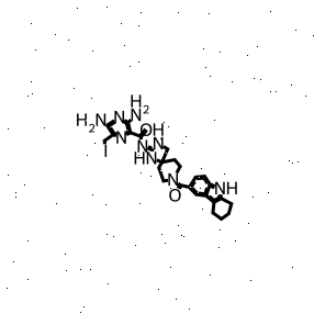 Nc1nc(N)c(C(=O)/N=C2\NCC3(CCN(C(=O)c4ccc5[nH]c6c(c5c4)CCCC6)CC3)N2)nc1CI